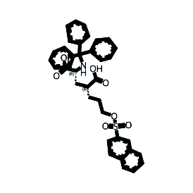 O=C(O)[C@H](CCCOS(=O)(=O)c1ccc2ccccc2c1)C[C@@H](NC(c1ccccc1)(c1ccccc1)c1ccccc1)C(=O)O